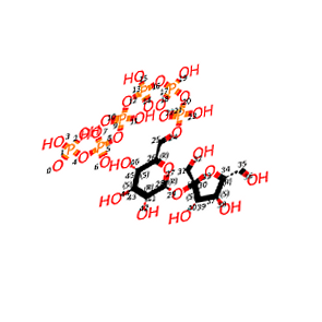 O=P(O)(O)OP(=O)(O)OP(=O)(O)OP(=O)(O)OP(=O)(O)OP(=O)(O)OC[C@H]1O[C@H](O[C@]2(CO)O[C@H](CO)[C@@H](O)[C@@H]2O)[C@H](O)[C@@H](O)[C@@H]1O